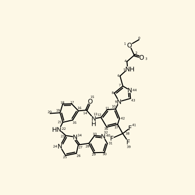 COC(=O)CNCc1cn(-c2cc(NC(=O)c3ccc(C)c(Nc4nccc(-c5cccnc5)n4)c3)cc(C(F)(F)F)c2)cn1